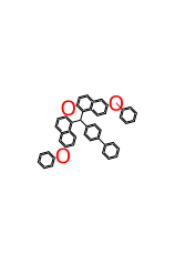 c1ccc(Oc2ccc3c4c(ccc3c2)Oc2ccc3cc(Oc5ccccc5)ccc3c2C4c2ccc(-c3ccccc3)cc2)cc1